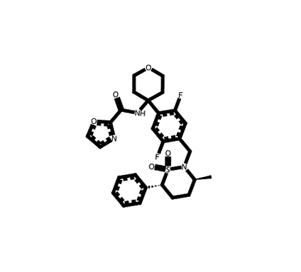 C[C@H]1CC[C@H](c2ccccc2)S(=O)(=O)N1Cc1cc(F)c(C2(NC(=O)c3ncco3)CCOCC2)cc1F